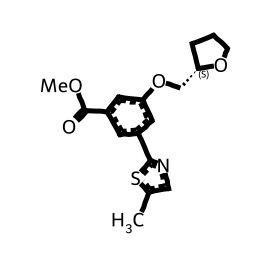 COC(=O)c1cc(OC[C@@H]2CCCO2)cc(-c2ncc(C)s2)c1